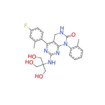 Cc1cc(F)ccc1-c1nc(NC(CO)(CO)CO)nc2c1CNC(=O)N2c1ccccc1C